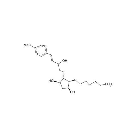 COc1ccc(C=CC(O)CC[C@@H]2[C@@H](CCCCCCC(=O)O)[C@@H](O)C[C@H]2O)cc1